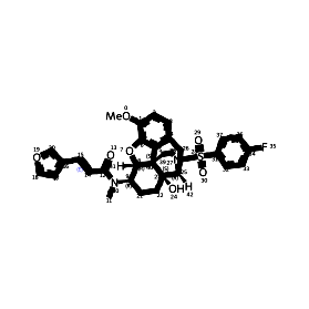 COc1ccc2c3c1O[C@H]1[C@H](N(C)C(=O)/C=C/c4ccoc4)CC[C@@]4(O)[C@@H](C2)N(S(=O)(=O)c2ccc(F)cc2)CC[C@]314